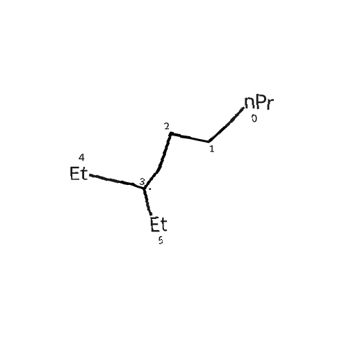 CCCCC[C](CC)CC